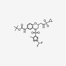 Cc1nn(C(F)F)cc1S(=O)(=O)N1CC(CNS(=O)(=O)C2CC2)Oc2ccc(NC(=O)OC(C)(C)C)cc21